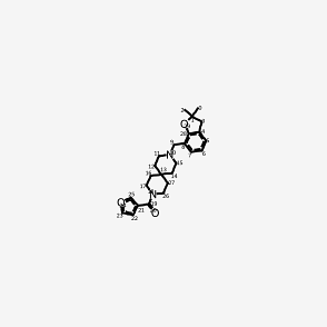 CC1(C)Cc2cccc(CN3CCC4(CC3)CCN(C(=O)c3ccoc3)CC4)c2O1